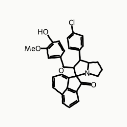 COc1cc(C(=O)C2C(c3ccc(Cl)cc3)C3CCCN3C23C(=O)c2cccc4cccc3c24)ccc1O